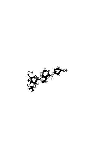 CC1(C)O[C@@H]2[C@H](O1)[C@@H](CO)O[C@H]2n1cnc2c(N[C@@H]3CC[C@@H](O)C3)ncnc21